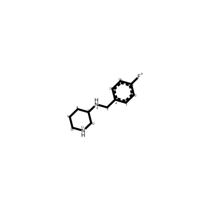 Fc1ccc(CNC2CCCNC2)cc1